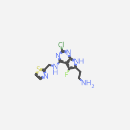 NCCc1[nH]c2nc(Cl)nc(NCc3nccs3)c2c1F